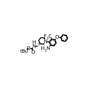 CC(C)(C)OC(=O)NC[C@@H]1CCCN(c2c(N)ccc(Oc3ccccc3)c2C(F)(F)F)C1